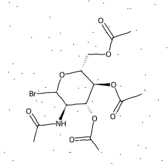 CC(=O)N[C@H]1C(Br)O[C@H](COC(C)=O)[C@@H](OC(C)=O)[C@@H]1OC(C)=O